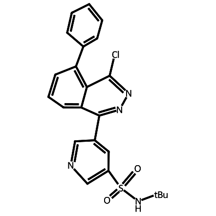 CC(C)(C)NS(=O)(=O)c1cncc(-c2nnc(Cl)c3c(-c4ccccc4)cccc23)c1